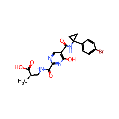 C[C@H](CNC(=O)c1ncc(C(=O)NC2(c3ccc(Br)cc3)CC2)c(O)n1)C(=O)O